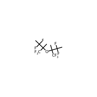 CC(F)(F)C(C)(OC(C)(C(C)(F)F)C(F)(F)F)C(F)(F)F